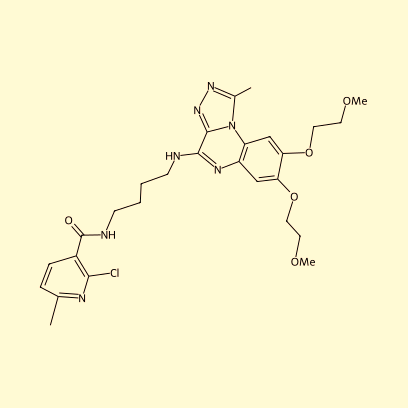 COCCOc1cc2nc(NCCCCNC(=O)c3ccc(C)nc3Cl)c3nnc(C)n3c2cc1OCCOC